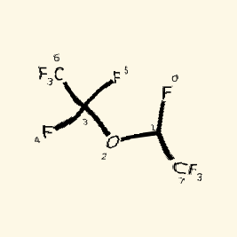 FC(OC(F)(F)C(F)(F)F)C(F)(F)F